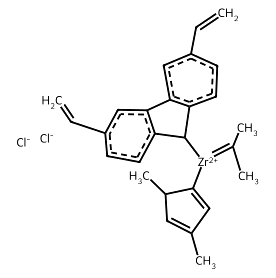 C=Cc1ccc2c(c1)-c1cc(C=C)ccc1[CH]2[Zr+2]([C]1=CC(C)=CC1C)=[C](C)C.[Cl-].[Cl-]